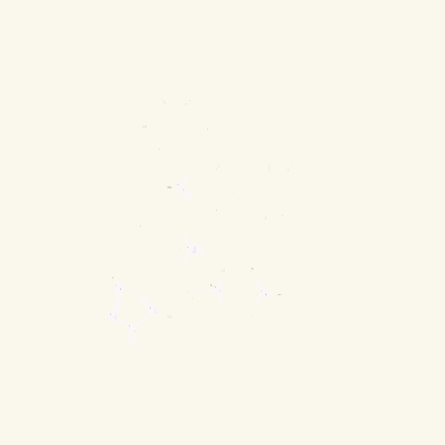 CCOC(=O)N1CCN(C(=O)[C@H](Cc2nn[nH]n2)NC(=O)c2cc(-c3ccccc3)cc(-c3ccccc3)n2)CC1